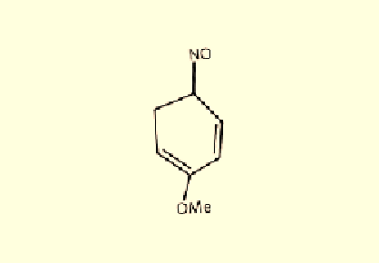 COC1=CCC(N=O)C=C1